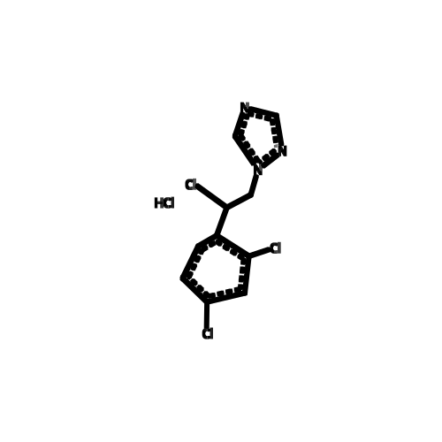 Cl.Clc1ccc(C(Cl)Cn2cncn2)c(Cl)c1